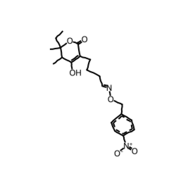 CCC1(C)OC(=O)C(CCCC=NOCc2ccc([N+](=O)[O-])cc2)=C(O)C1C